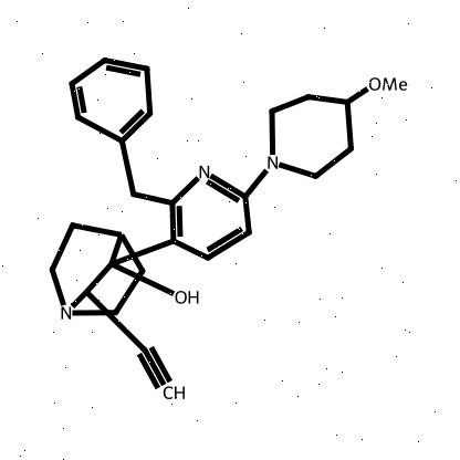 C#CC1N2CCC(CC2)C1(O)c1ccc(N2CCC(OC)CC2)nc1Cc1ccccc1